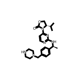 CC(C)[C@H]1COC(=O)N1c1ccnc(N[C@@H](C)c2ccc(CN3CCNCC3)cc2)n1